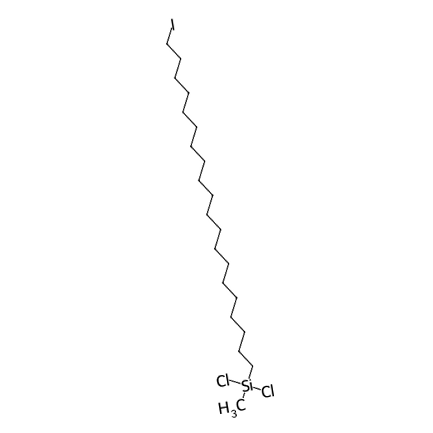 C[Si](Cl)(Cl)CCCCCCCCCCCCCCCCCCCCI